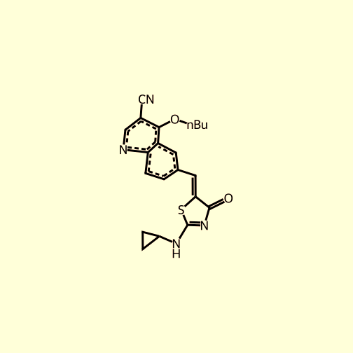 CCCCOc1c(C#N)cnc2ccc(/C=C3\SC(NC4CC4)=NC3=O)cc12